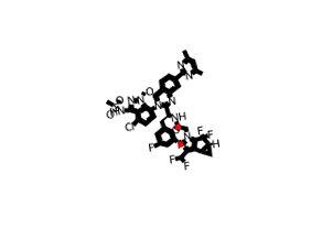 Cc1cc(C)nc(-c2ccc3c(=O)n(-c4ccc(Cl)c5c(NS(C)(=O)=O)nn(C)c45)c([C@H](Cc4cc(F)cc(F)c4)NC(=O)Cn4nc(C(F)F)c5c4C(F)(F)[C@@H]4CC54)nc3c2)n1